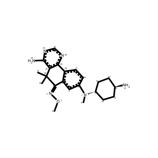 CO/N=C1\c2cc(N(C)[C@H]3CC[C@H](N)CC3)ccc2-c2ncnc(N)c2C1(C)C